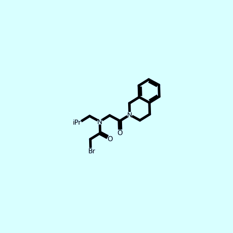 CC(C)CN(CC(=O)N1CCc2ccccc2C1)C(=O)CBr